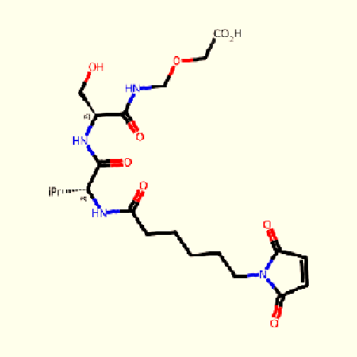 CC(C)[C@@H](NC(=O)CCCCCN1C(=O)C=CC1=O)C(=O)N[C@@H](CO)C(=O)NCOCC(=O)O